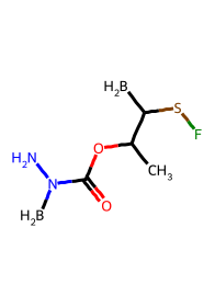 BC(SF)C(C)OC(=O)N(B)N